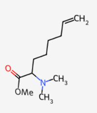 C=CCCCCC(C(=O)OC)N(C)C